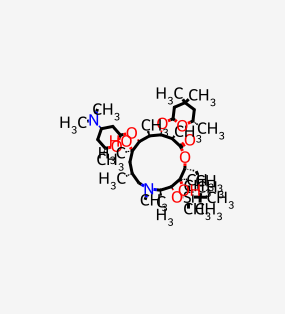 CC[C@H]1OC(=O)[C@H](C)[C@@H](OC2CC(C)(C)C[C@H](C)O2)[C@H](C)[C@@H](OC2C[C@@H](N(C)C)C[C@@H](C)O2)[C@](C)(O)C[C@@H](C)CN(C)[C@H](C)[C@@H](O[Si](C)(C)C(C)(C)C)[C@]1(C)O